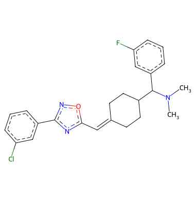 CN(C)C(c1cccc(F)c1)C1CCC(=Cc2nc(-c3cccc(Cl)c3)no2)CC1